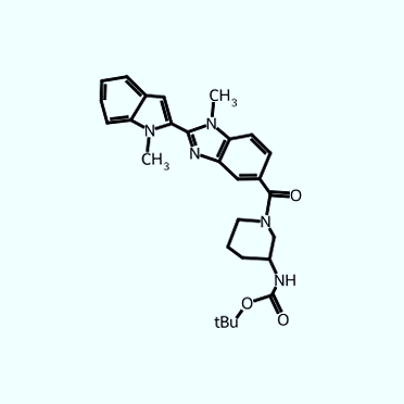 Cn1c(-c2nc3cc(C(=O)N4CCCC(NC(=O)OC(C)(C)C)C4)ccc3n2C)cc2ccccc21